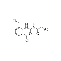 CC(=O)CC(=O)NC(=O)Nc1c(CCl)cccc1CCl